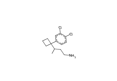 CC(CCN)C1(c2ccc(Cl)c(Cl)c2)CCC1